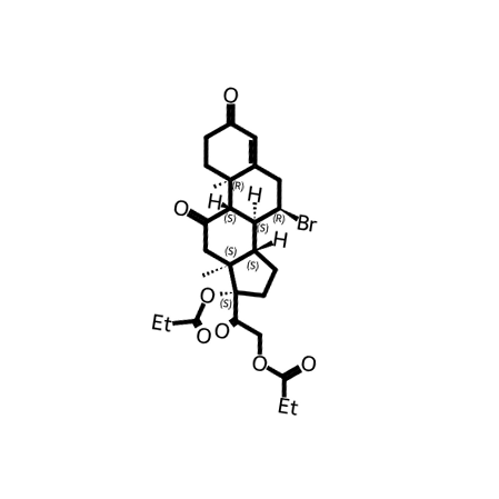 CCC(=O)OCC(=O)[C@]1(OC(=O)CC)CC[C@H]2[C@@H]3[C@H](Br)CC4=CC(=O)CC[C@]4(C)[C@H]3C(=O)C[C@@]21C